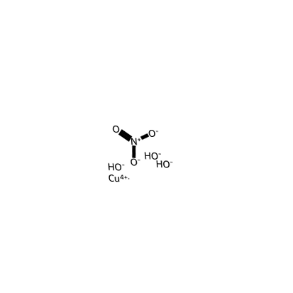 O=[N+]([O-])[O-].[Cu+4].[OH-].[OH-].[OH-]